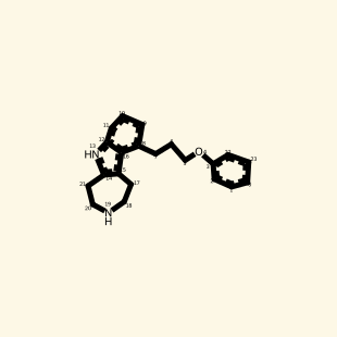 c1ccc(OCCCc2cccc3[nH]c4c(c23)CCNCC4)cc1